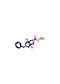 CC(C)(C)OC(=O)N1C[C@H]2CN(Cc3ccccc3)C[C@H]2C1